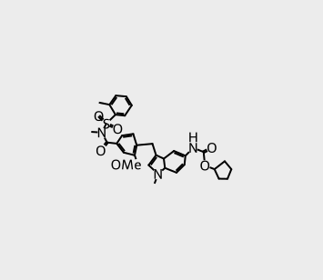 COc1cc(C(=O)N(C)S(=O)(=O)c2ccccc2C)ccc1CC1=CN(C)C2C=CC(NC(=O)OC3CCCC3)=CC12